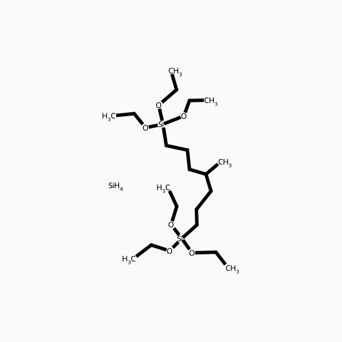 CCO[Si](CCCC(C)CCC[Si](OCC)(OCC)OCC)(OCC)OCC.[SiH4]